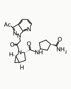 CC(=O)c1nn(CC(=O)N2[C@@H]3C[C@@H]3C[C@H]2C(=O)N[C@@H]2CC[C@@H](C(N)=O)C2)c2ncccc12